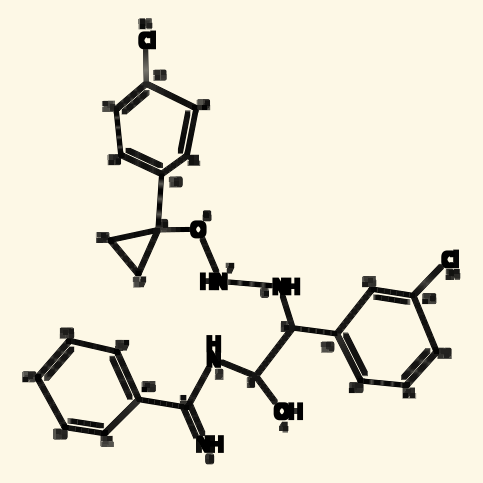 N=C(NC(O)C(NNOC1(c2ccc(Cl)cc2)CC1)c1cccc(Cl)c1)c1ccccc1